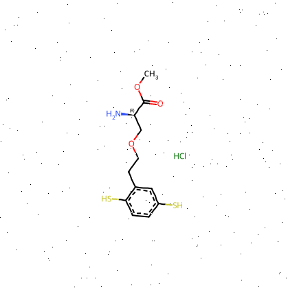 COC(=O)[C@H](N)COCCc1cc(S)ccc1S.Cl